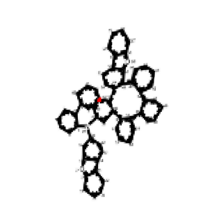 c1ccc(-c2ccccc2N(c2ccc3c(c2)oc2ccccc23)c2ccc3c(c2)c2ccccc2c2ccccc2c2ccccc2c2c3ccc3c4ccccc4oc32)cc1